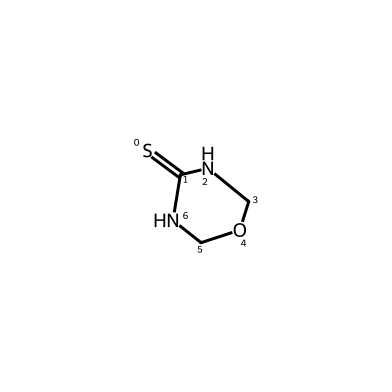 S=C1NCOCN1